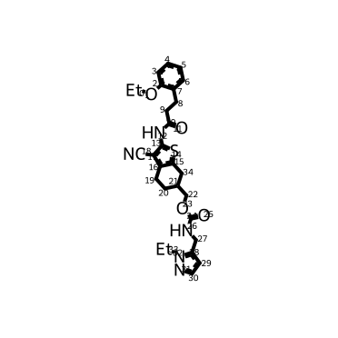 CCOc1ccccc1CCC(=O)Nc1sc2c(c1C#N)CCC(COC(=O)NCc1ccnn1CC)C2